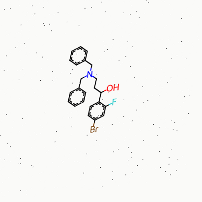 OC(CCN(Cc1ccccc1)Cc1ccccc1)c1ccc(Br)cc1F